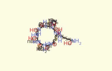 CCCC[C@@H]1NC(=O)[C@H](CSC(C)(C)C)NC(=O)[C@H](CC(=O)O)NC(=O)CSC[C@@H](C(=O)NCCCCC[C@H](N)O)N[C@H](O)[C@H](Cc2ccccc2)N[C@@H](O)[C@H](CSC(C)(C)C)NC(=O)[C@H](CC(=O)O)N[C@@H](O)CN[C@@H]1O